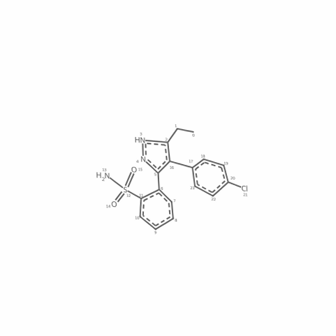 CCc1[nH]nc(-c2ccccc2S(N)(=O)=O)c1-c1ccc(Cl)cc1